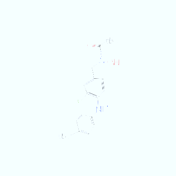 CC(C)(C)C(=O)N(O)Cc1ccc(Nc2ccc(C(C)(C)C)cc2)c(F)c1